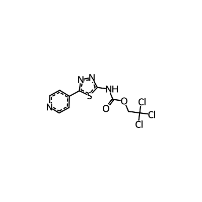 O=C(Nc1nnc(-c2ccncc2)s1)OCC(Cl)(Cl)Cl